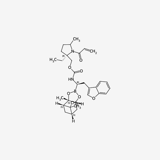 C=CC(=O)N1C(C)CC[C@]1(CC)COC(=O)N[C@@H](Cc1coc2ccccc12)B1O[C@@H]2C[C@@H]3C[C@@H](C3(C)C)[C@]2(C)O1